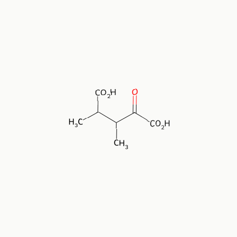 CC(C(=O)O)C(C)C(=O)C(=O)O